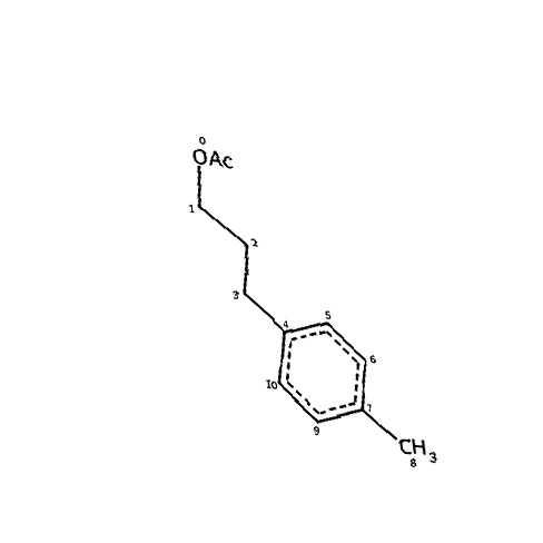 CC(=O)OCCCc1ccc(C)cc1